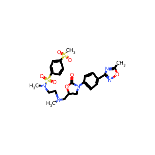 Cc1nc(-c2ccc(N3CC(CN(C)CCN(C)S(=O)(=O)c4ccc(S(C)(=O)=O)cc4)OC3=O)cc2)no1